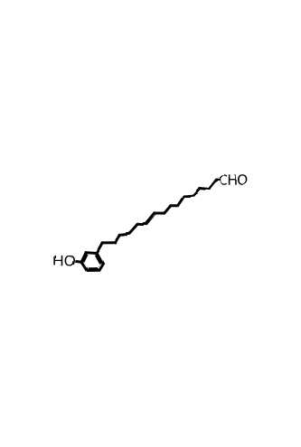 O=CCCCCCCCCCCCCCCCc1cccc(O)c1